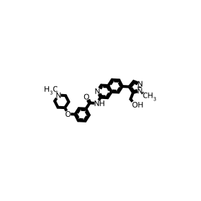 CN1CCC(Oc2cccc(C(=O)Nc3cc4cc(-c5cnn(C)c5CO)ccc4cn3)c2)CC1